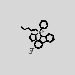 CCCC=[CH][Ti+2]([C]1=CC=CC1)([c]1ccccc1)[CH]1c2ccccc2-c2ccccc21.[Cl-].[Cl-]